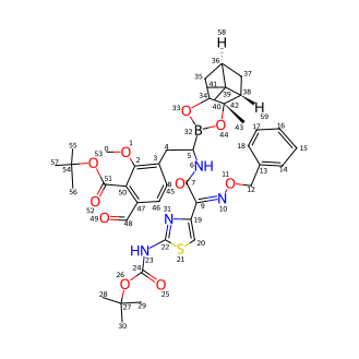 COc1c(CC(NC(=O)/C(=N\OCc2ccccc2)c2csc(NC(=O)OC(C)(C)C)n2)B2OC3C[C@H]4C[C@@H](C4(C)C)[C@]3(C)O2)ccc(C=O)c1C(=O)OC(C)(C)C